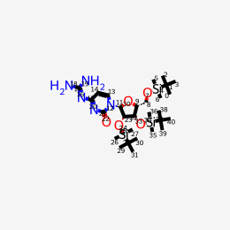 CC(C)(C)[Si](C)(C)OC[C@H]1O[C@@H](n2ccc(N=C(N)N)nc2=O)[C@@H](O[Si](C)(C)C(C)(C)C)[C@H]1O[Si](C)(C)C(C)(C)C